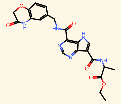 CCOC(=O)C(C)NC(=O)c1c[nH]c2c(C(=O)NCc3ccc4c(c3)NC(=O)CO4)ncnc12